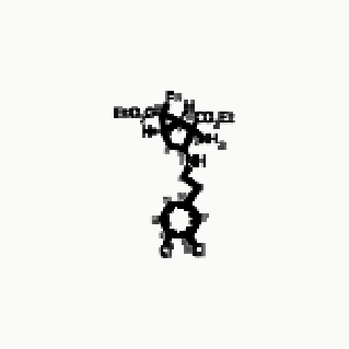 CCOC(=O)[C@@]1(N)[C@H]2[C@@H](C[C@H]1NCCc1ccc(Cl)c(Cl)c1)[C@]2(F)C(=O)OCC